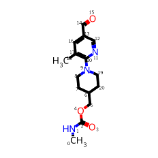 CNC(=O)OCC1CCN(c2ncc(C=O)cc2C)CC1